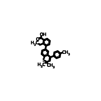 CCc1c(C(=O)O)cccc1-c1ccc2c(c1)C(c1ccc(C)cc1)=CC(C)(C)S2